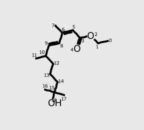 CCOC(=O)C=C(C)C=CC(C)CCCC(C)(C)O